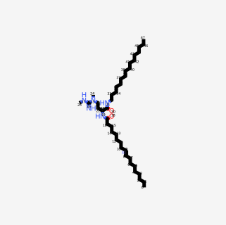 CCCCCCCC/C=C/CCCCCCCC(=O)NC(CCN(C)C(=N)NC)C(=O)NCCCCCCCCCCCCCCCC